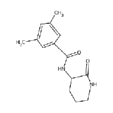 Cc1cc(C)cc(C(=O)NC2CCCNC2=O)c1